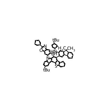 CC(C)(C)c1ccc(Nc2cc3c(cc2-c2c4c5c(c6cc(C(C)(C)C)ccc6n5-c5cc6oc(-c7ccccc7)nc6cc5B4)c4sc5ccccc5c24)-c2ccccc2C3(C)C)cc1